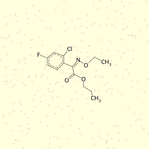 CCCOC(=O)C(=NOCC)c1c[c]c(F)cc1Cl